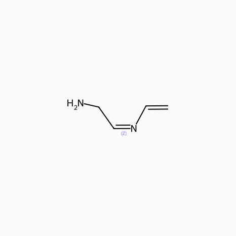 C=C/N=C\CN